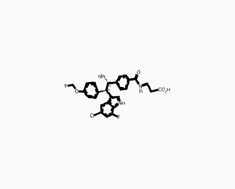 CCC[C@H](c1ccc(C(=O)NCCC(=O)O)cc1)[C@H](c1ccc(OCF)cc1)c1c[nH]c2c(F)cc(Cl)cc12